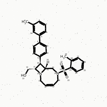 Cc1cccc(-c2ccc([C@@H]3[C@@H](CO)N4C/C=C\CN(S(=O)(=O)c5ccccc5C)C[C@@H]34)cc2)c1